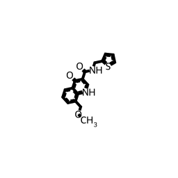 COCc1cccc2c(=O)c(C(=O)NCc3cccs3)c[nH]c12